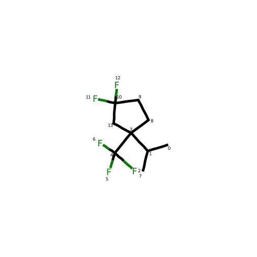 CC(C)C1(C(F)(F)F)CCC(F)(F)C1